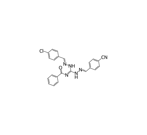 N#Cc1ccc(C=NNC(=NC(=O)c2ccccc2)NN=Cc2ccc(Cl)cc2)cc1